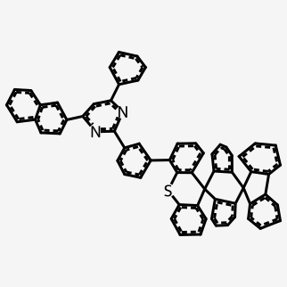 c1ccc(-c2cc(-c3ccc4ccccc4c3)nc(-c3cccc(-c4cccc5c4Sc4ccccc4C54c5ccccc5C5(c6ccccc6-c6ccccc65)c5ccccc54)c3)n2)cc1